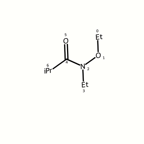 CCON(CC)C(=O)C(C)C